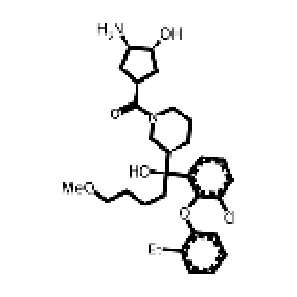 CCc1ccccc1Oc1c(Cl)cccc1[C@](O)(CCCCOC)[C@@H]1CCCN(C(=O)[C@H]2C[C@@H](N)[C@@H](O)C2)C1